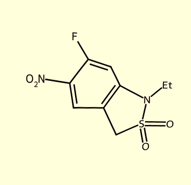 CCN1c2cc(F)c([N+](=O)[O-])cc2CS1(=O)=O